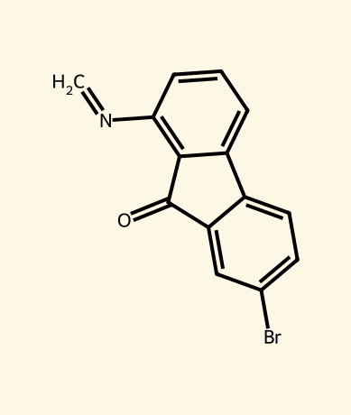 C=Nc1cccc2c1C(=O)c1cc(Br)ccc1-2